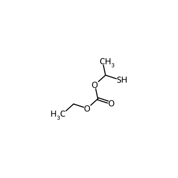 CCOC(=O)OC(C)S